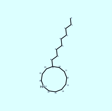 CCCCCCCCCC1CCCCCCCNCCC1